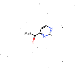 CSC(=O)c1ccncn1